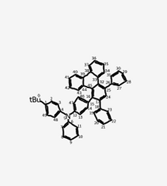 CC(C)(C)c1ccc(N(c2ccccc2)c2ccc(-c3c(-c4ccccc4)cc(-c4ccccc4)c4c5ccccc5c5ccccc5c34)cc2)cc1